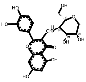 O=c1c(O)c(-c2ccc(O)c(O)c2)oc2cc(O)cc(O)c12.OC[C@@H]1O[CH][C@@H](O)[C@H](O)[C@H]1O